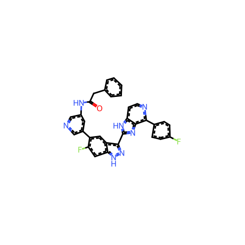 O=C(Cc1ccccc1)Nc1cncc(-c2cc3c(-c4nc5c(-c6ccc(F)cc6)nccc5[nH]4)n[nH]c3cc2F)c1